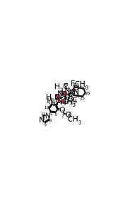 COCOc1cc(-n2ccnc2)ccc1-c1ncc(N(C)[C@H]2C[C@]3(C)CCC[C@](C)([C@H]2F)N3CC(=O)OC(C)(C)C)nn1